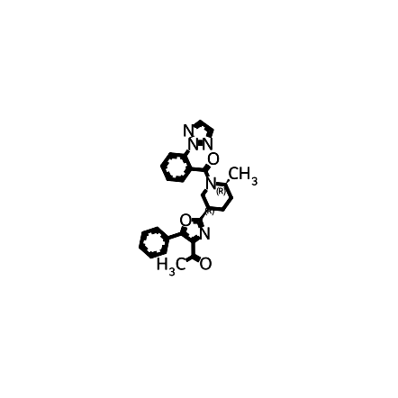 CC(=O)c1nc([C@@H]2CC[C@@H](C)N(C(=O)c3ccccc3-n3nccn3)C2)oc1-c1ccccc1